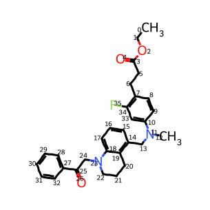 CCOC(=O)CCc1ccc(N(C)Cc2cccc3c2CCCN3CC(=O)c2ccccc2)cc1F